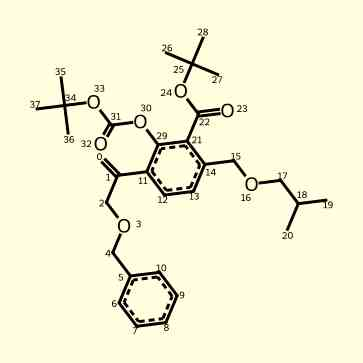 C=C(COCc1ccccc1)c1ccc(COCC(C)C)c(C(=O)OC(C)(C)C)c1OC(=O)OC(C)(C)C